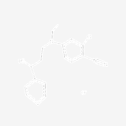 CCN(CCC(S)c1ccccc1)c1ccc([N+]#N)c(Cl)c1.[Cl-]